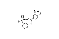 Cc1ccc(N/C=C2/C(=O)Nc3ccccc32)cc1N